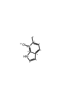 Cc1ccc2cc[nH]c2[n+]1[O-]